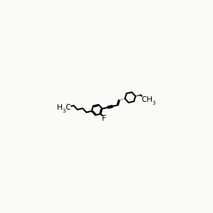 CCCCCc1ccc(C#C/C=C/[C@H]2CC[C@H](CC)CC2)c(F)c1